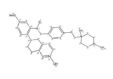 CCN(Cc1ccc(OCC2(C)CCN(C)CC2)cc1)c1cc(OC)ccc1C1CCc2cc(O)ccc2C1